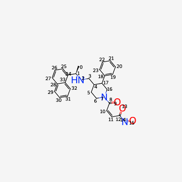 C[C@@H](NCC1CCN(C(=O)/C=C\C(=O)N=O)CC1c1ccccc1)c1cccc2ccccc12